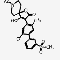 CC(=O)N1CCC2(CC1)OC(=O)C(c1cc(Cl)c(-c3cccc(S(C)(=O)=O)c3)cc1C)=C2O